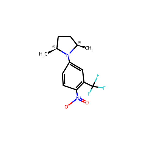 C[C@@H]1CC[C@H](C)N1c1ccc([N+](=O)[O-])c(C(F)(F)F)c1